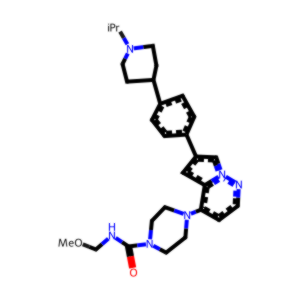 COCNC(=O)N1CCN(c2ccnn3cc(-c4ccc(C5CCN(C(C)C)CC5)cc4)cc23)CC1